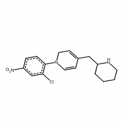 O=[N+]([O-])c1ccc(N2C=CC(CC3CCCCN3)=CC2)c(Cl)c1